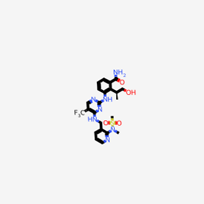 C[C@H](CO)c1c(Nc2ncc(C(F)(F)F)c(NCc3cccnc3N(C)S(C)(=O)=O)n2)cccc1C(N)=O